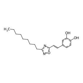 CCCCCCCCCc1noc(C=Cc2ccc(O)c(O)c2)n1